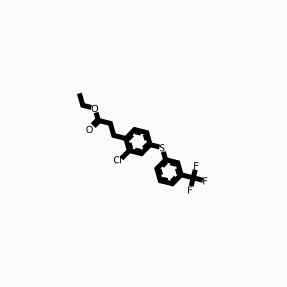 CCOC(=O)CCc1ccc(Sc2cccc(C(F)(F)F)c2)cc1Cl